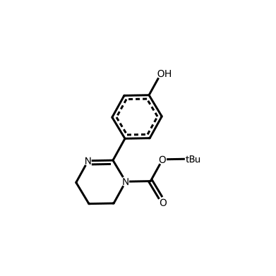 CC(C)(C)OC(=O)N1CCCN=C1c1ccc(O)cc1